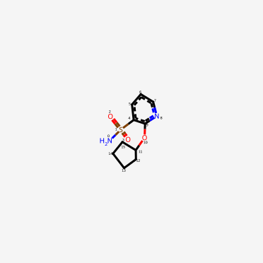 NS(=O)(=O)c1cccnc1OC1CCCC1